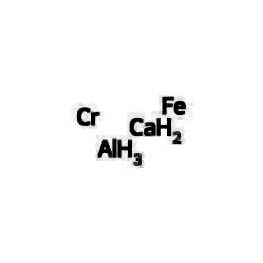 [AlH3].[CaH2].[Cr].[Fe]